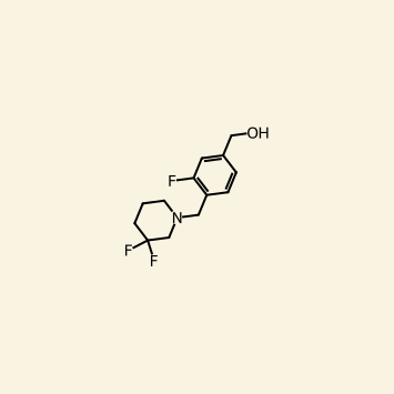 OCc1ccc(CN2CCCC(F)(F)C2)c(F)c1